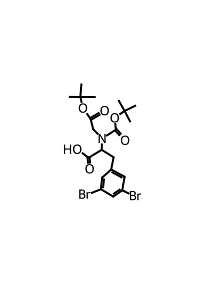 CC(C)(C)OC(=O)CN(C(=O)OC(C)(C)C)C(Cc1cc(Br)cc(Br)c1)C(=O)O